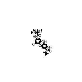 CC1(n2c(=O)[nH]c3ccc(Oc4c(O)cc(NC(=O)C(=N)NC(=O)O)cc4Cl)cc32)CC1